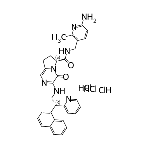 Cc1nc(N)ccc1CNC(=O)[C@@H]1CCc2cnc(NC[C@H](c3ccccn3)c3cccc4ccccc34)c(=O)n21.Cl.Cl.Cl